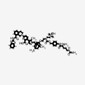 Cc1c(-c2ccc(N3CCc4cccc(C(=O)Nc5nc6ccccc6s5)c4C3)nc2C(=O)O)cnn1CC12CC3(C)CC(C)(C1)CC(OCCN(CCS(=O)(=O)O)C(=O)OCc1ccc(NC(=O)[C@@H](N)CCCNC(N)=O)cc1)(C3)C2